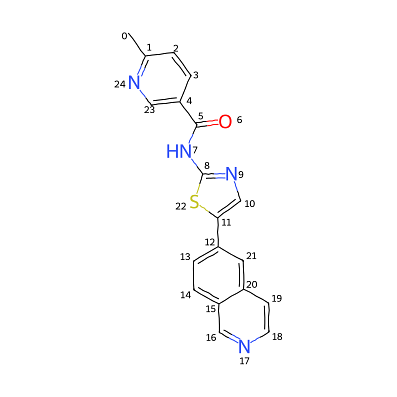 Cc1ccc(C(=O)Nc2ncc(-c3ccc4cnccc4c3)s2)cn1